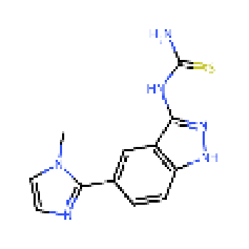 Cn1ccnc1-c1ccc2[nH]nc(NC(N)=S)c2c1